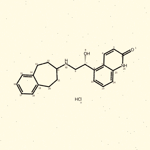 Cl.O=c1ccc2c([C@@H](O)CNC3CCc4ccccc4CC3)cccc2[nH]1